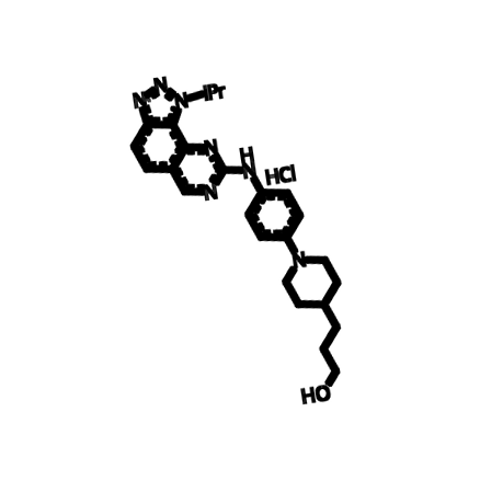 CC(C)n1nnc2ccc3cnc(Nc4ccc(N5CCC(CCCO)CC5)cc4)nc3c21.Cl